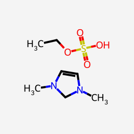 CCOS(=O)(=O)O.CN1C=CN(C)C1